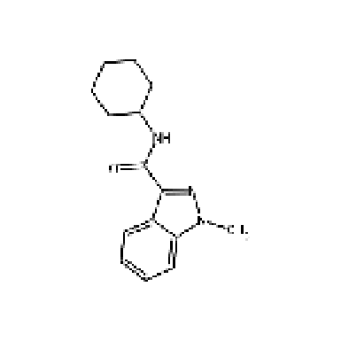 Cn1nc(C(=O)NC2CCCCC2)c2ccccc21